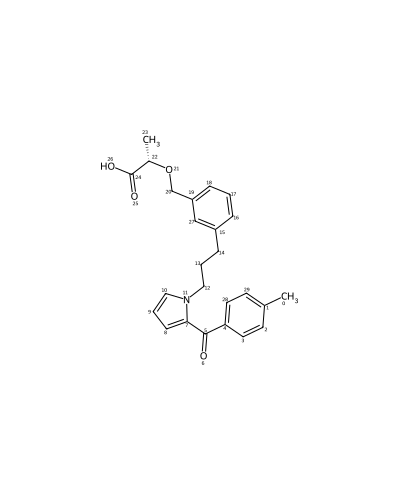 Cc1ccc(C(=O)c2cccn2CCCc2cccc(CO[C@@H](C)C(=O)O)c2)cc1